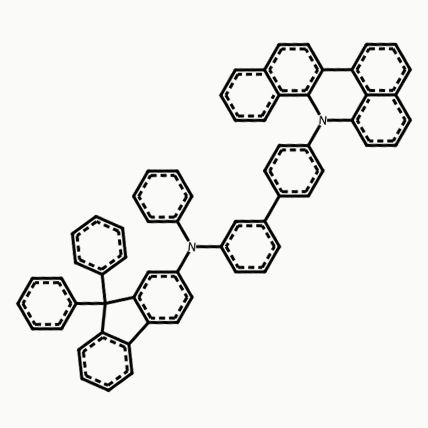 c1ccc(N(c2cccc(-c3ccc(N4c5c(ccc6ccccc56)-c5cccc6cccc4c56)cc3)c2)c2ccc3c(c2)C(c2ccccc2)(c2ccccc2)c2ccccc2-3)cc1